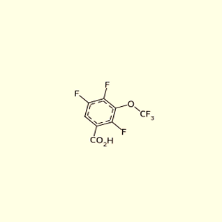 O=C(O)c1cc(F)c(F)c(OC(F)(F)F)c1F